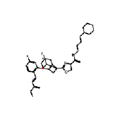 C=C(/C=C/c1ccc(F)cc1CC1[C@@H]2CCC3CC1(C1=NC(C(=C)NCCCCC4CCCCC4)CO1)C3C2)CC